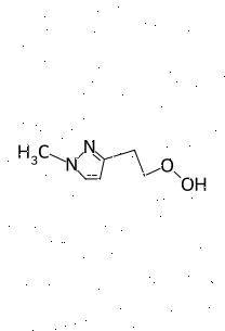 Cn1ccc(CCOO)n1